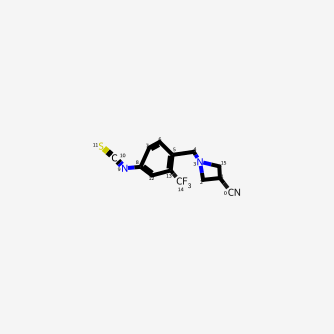 N#CC1CN(Cc2ccc(N=C=S)cc2C(F)(F)F)C1